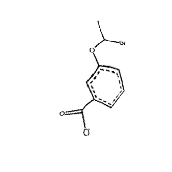 CC(Br)Oc1cccc(C(=O)Cl)c1